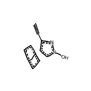 C#Cc1ccn(O)n1.c1cc2ccc1-2